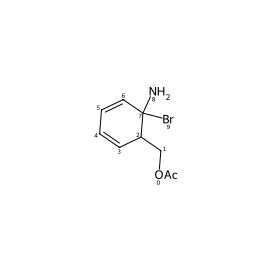 CC(=O)OCC1C=CC=CC1(N)Br